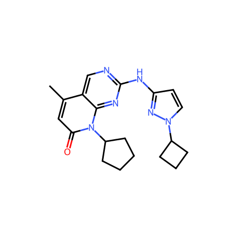 Cc1cc(=O)n(C2CCCC2)c2nc(Nc3ccn(C4CCC4)n3)ncc12